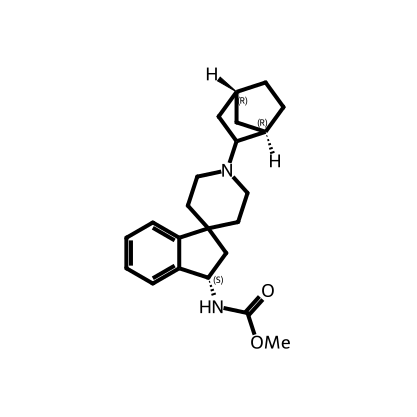 COC(=O)N[C@H]1CC2(CCN(C3C[C@@H]4CC[C@@H]3C4)CC2)c2ccccc21